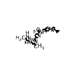 Cc1cc(Nc2cc(C)[nH]n2)nc(-c2cnc(C(=O)NCc3ccc(-n4ccc(C5CC5)n4)nc3)c(F)c2)n1